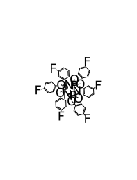 Fc1ccc(OP2(Oc3ccc(F)cc3)=NP(Oc3ccc(F)cc3)(Oc3ccc(F)cc3)=NP(Oc3ccc(F)cc3)(Oc3ccc(F)cc3)=N2)cc1